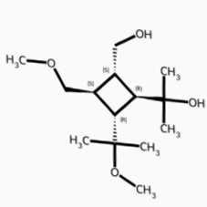 COC[C@H]1[C@H](CO)[C@@H](C(C)(C)O)[C@@H]1C(C)(C)OC